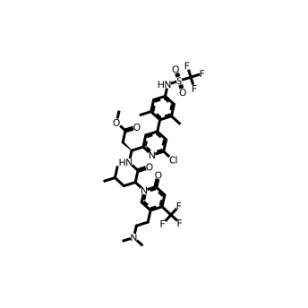 COC(=O)C[C@H](NC(=O)C(CC(C)C)n1cc(CCN(C)C)c(C(F)(F)F)cc1=O)c1cc(-c2c(C)cc(NS(=O)(=O)C(F)(F)F)cc2C)cc(Cl)n1